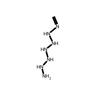 C=NNNNNNN